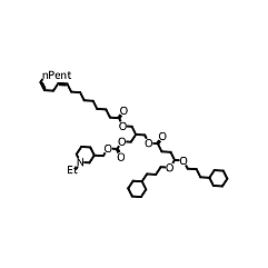 CCCCC/C=C\C/C=C\CCCCCCCC(=O)OCC(COC(=O)CCC(OCCCC1CCCCC1)OCCCC1CCCCC1)COC(=O)OCC1CCCN(CC)C1